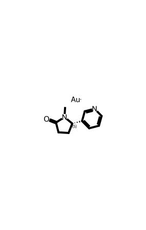 CN1C(=O)CC[C@H]1c1cccnc1.[Au]